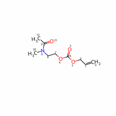 C=CCOC(=O)OCCN(C)C(C)=O